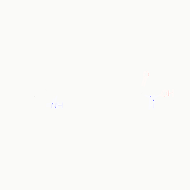 O=C(CCCCCCc1cc2ccccc2[nH]1)NO